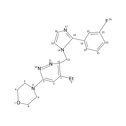 CCc1cc(N2CCOCC2)nnc1Cn1ccnc1-c1cccc(F)c1